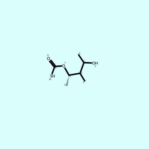 CC(O)C(C)[C@H](C)OC(=O)S